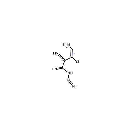 N=NNC(=N)C(=N)/C(Cl)=C\N